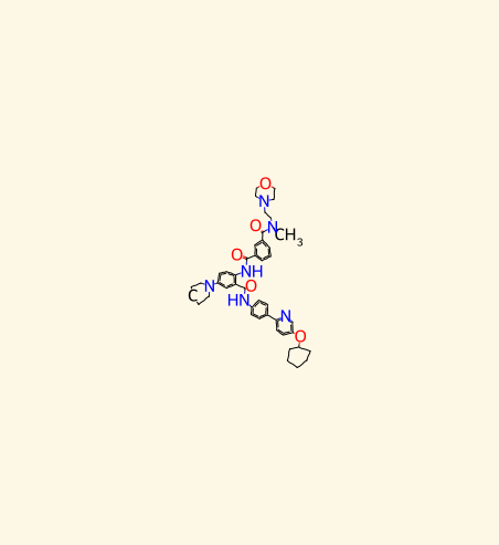 CN(CCN1CCOCC1)C(=O)c1cccc(C(=O)Nc2ccc(N3CCCCC3)cc2C(=O)Nc2ccc(-c3ccc(OC4CCCCC4)cn3)cc2)c1